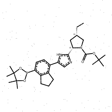 CC[C@H]1C[C@@H](c2ncc(-c3ccc(B4OC(C)(C)C(C)(C)O4)c4c3CCC4)[nH]2)N(C(=O)OC(C)(C)C)C1